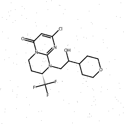 O=c1cc(Cl)nc2n1CC[C@@H](C(F)(F)F)N2CC(O)C1CCOCC1